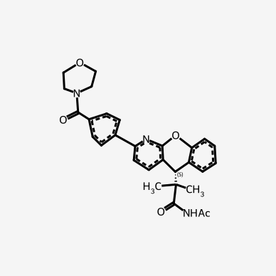 CC(=O)NC(=O)C(C)(C)[C@H]1c2ccccc2Oc2nc(-c3ccc(C(=O)N4CCOCC4)cc3)ccc21